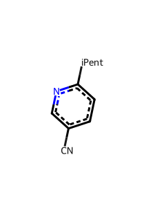 CCCC(C)c1ccc(C#N)cn1